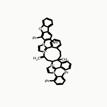 C=C1CC2[n+]3ccn(-c4c(C(C)C)cccc4C(C)C)c3-c3ccccc3C2(C)CCc2ccccc2-c2n(-c3c(C(C)C)cc4c(oc5ccccc54)c3C(C)C)cc[n+]21